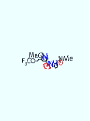 CNC(=O)Cc1cccc(CNC(=O)c2cnc(OC)c(C=CC3CCC(C(F)(F)F)CC3)c2)c1